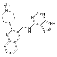 CN1CCN(c2nc3ccccc3cc2CNc2ncnc3[nH]cnc23)CC1